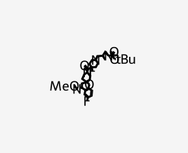 CO/N=C1\CC2(CCN(C(=O)C3(F)CCN(CC4CN(C(=O)OC(C)(C)C)C4)CC3)CC2)Oc2ccc(F)cc21